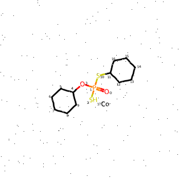 O=P(S)(OC1CCCCC1)SC1CCCCC1.[Co]